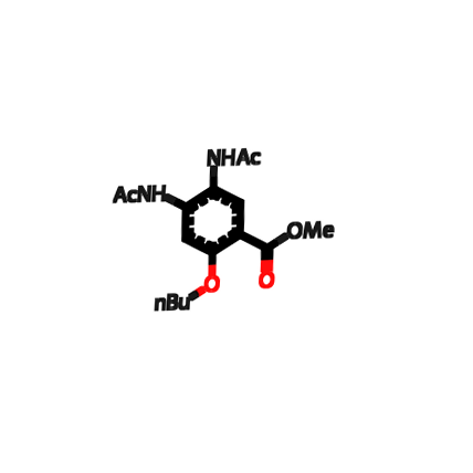 CCCCOc1cc(NC(C)=O)c(NC(C)=O)cc1C(=O)OC